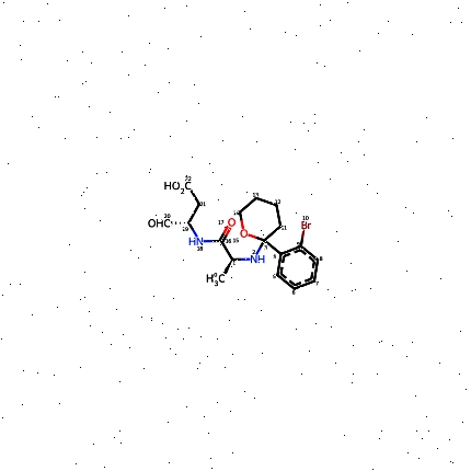 C[C@H](NC1(c2ccccc2Br)CCCCO1)C(=O)N[C@H](C=O)CC(=O)O